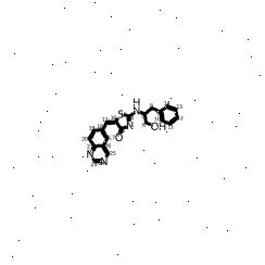 O=C1N=C(NC(CO)Cc2ccccc2)SC1=Cc1ccc2ncncc2c1